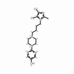 Cc1nc(Cl)c(Cl)n1CCCCN1CCN(c2ncc(O)cn2)CC1